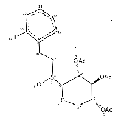 CC(=O)O[C@H]1[C@H](OC(C)=O)COC([S+]([O-])CCc2ccccc2I)[C@@H]1OC(C)=O